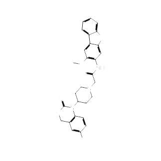 COc1cc2c(cc1NC(=O)CN1CCC(N3C(=O)OCc4cc(Cl)ccc43)CC1)oc1ccccc12